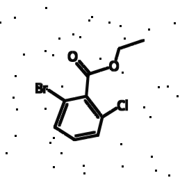 CCOC(=O)c1c(Cl)cccc1Br